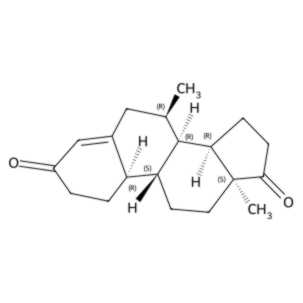 C[C@@H]1CC2=CC(=O)CC[C@@H]2[C@H]2CC[C@]3(C)C(=O)CC[C@@H]3[C@@H]21